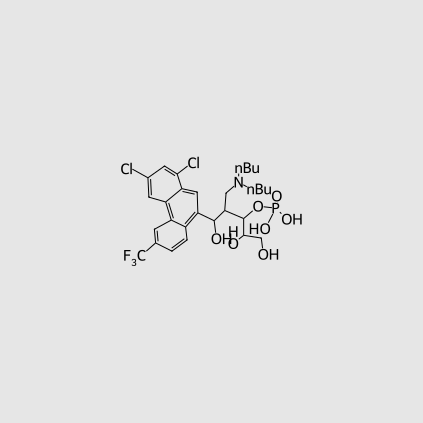 CCCCN(CCCC)CC(C(O)c1cc2c(Cl)cc(Cl)cc2c2cc(C(F)(F)F)ccc12)C(OP(=O)(O)O)C(O)CO